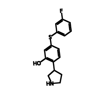 Oc1cc(Sc2cccc(F)c2)ccc1C1CCNC1